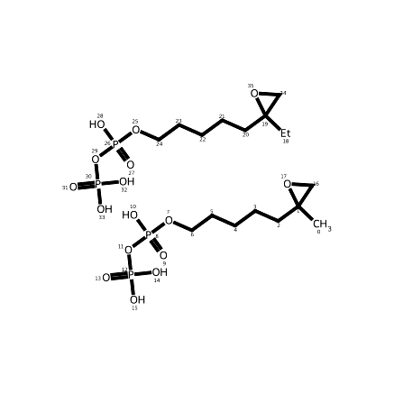 CC1(CCCCCOP(=O)(O)OP(=O)(O)O)CO1.CCC1(CCCCCOP(=O)(O)OP(=O)(O)O)CO1